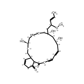 C/C=C/C(C[C@]1(O)CCNC[C@H](O)CCC2C=CCC(=O)C2C(=O)C/C=C/C=C/C[C@@H](O)C1)OC